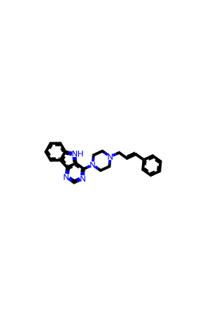 C(=C\c1ccccc1)/CN1CCN(c2ncnc3c2[nH]c2ccccc23)CC1